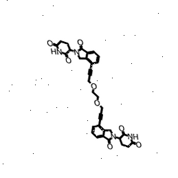 O=C1CCC(N2Cc3c(C#CCOCCOCC#Cc4cccc5c4CN(C4CCC(=O)NC4=O)C5=O)cccc3C2=O)C(=O)N1